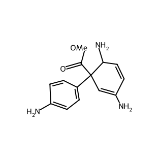 COC(=O)C1(c2ccc(N)cc2)C=C(N)C=CC1N